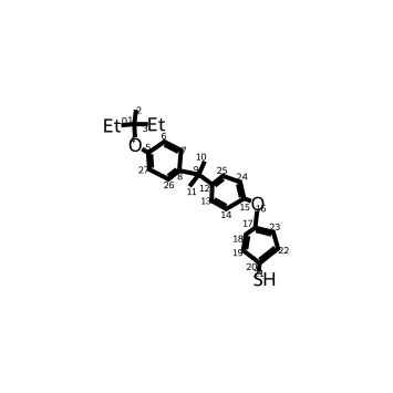 CCC(C)(CC)Oc1ccc(C(C)(C)c2ccc(Oc3ccc(S)cc3)cc2)cc1